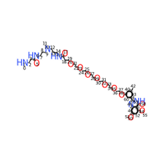 CNCCC(=O)NCCCN(C)CCCNC(=O)CCOCCOCCOCCOCCOCCOCCOc1cc(C)cc(-c2nc3cc(OC)cc(OC)c3c(=O)[nH]2)c1